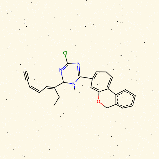 C#C/C=C\C=C(/CC)C1N=C(Cl)N=C(C2=CCC=C3C(=C2)OCc2ccccc23)N1C